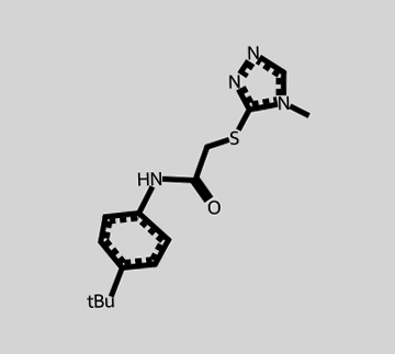 Cn1cnnc1SCC(=O)Nc1ccc(C(C)(C)C)cc1